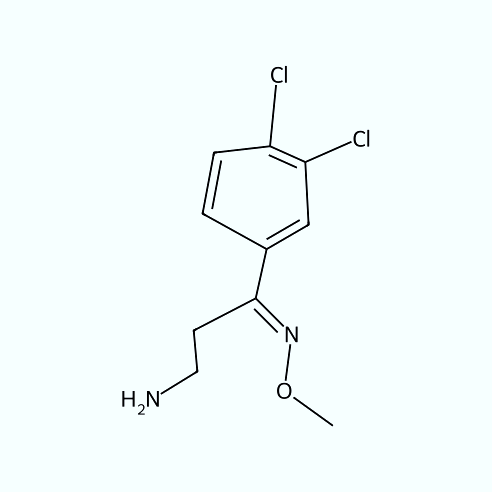 CON=C(CCN)c1ccc(Cl)c(Cl)c1